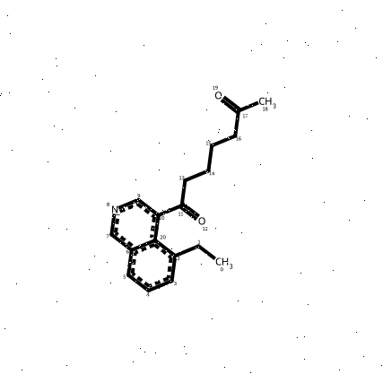 CCc1cccc2cncc(C(=O)CCCCC(C)=O)c12